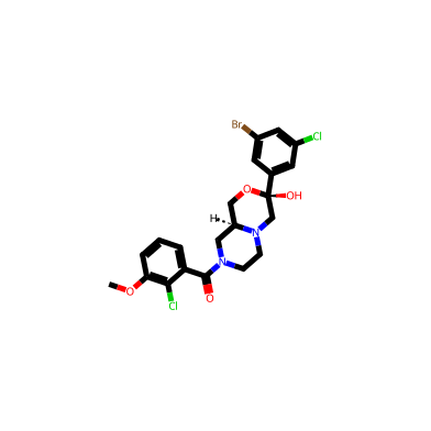 COc1cccc(C(=O)N2CCN3C[C@@](O)(c4cc(Cl)cc(Br)c4)OC[C@@H]3C2)c1Cl